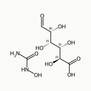 NC(=O)NO.O=C[C@H](O)[C@@H](O)[C@H](O)[C@H](O)C(=O)O